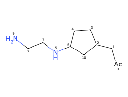 CC(=O)CC1CCC(NCCN)C1